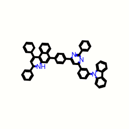 C1=CCC(C2=CC(c3ccccc3)Nc3cc(-c4ccc(-c5cc(-c6cccc(-n7c8ccccc8c8ccccc87)c6)nc(-c6ccccc6)n5)cc4)c4ccccc4c32)C=C1